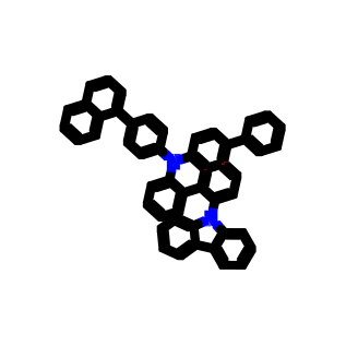 c1ccc(-c2ccc(N(c3ccc(-c4cccc5ccccc45)cc3)c3ccccc3-c3ccccc3-n3c4ccccc4c4ccccc43)cc2)cc1